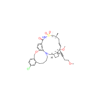 COCCC#C[C@]1(OC)/C=C/C[C@H](C)[C@@H](C)S(=O)(=O)NC(=O)c2ccc3c(c2)N(CCCCc2cc(Cl)ccc2CO3)C[C@@H]2CC[C@H]21